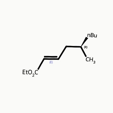 CCCC[C@@H](C)C/C=C/C(=O)OCC